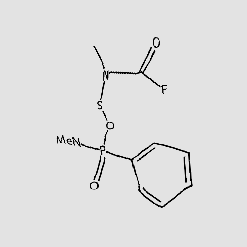 CNP(=O)(OSN(C)C(=O)F)c1ccccc1